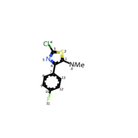 CNc1sc(Cl)nc1-c1ccc(F)cc1